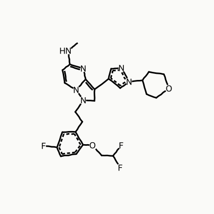 CNC1=NC2=C(c3cnn(C4CCOCC4)c3)CN(CCc3cc(F)ccc3OCC(F)F)N2C=C1